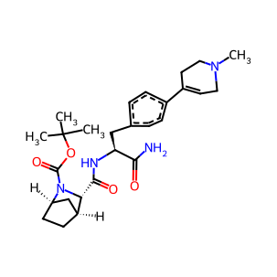 CN1CC=C(c2ccc(C[C@H](NC(=O)[C@@H]3[C@H]4CC[C@H](C4)N3C(=O)OC(C)(C)C)C(N)=O)cc2)CC1